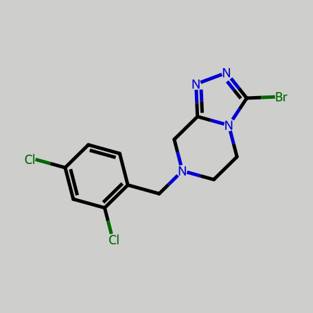 Clc1ccc(CN2CCn3c(Br)nnc3C2)c(Cl)c1